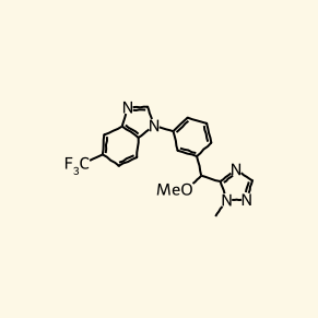 COC(c1cccc(-n2cnc3cc(C(F)(F)F)ccc32)c1)c1ncnn1C